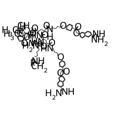 C=PNCCCC[C@H](N)C(=O)NC(CCC(=O)NCCCCOc1ccc(C(=O)Oc2ccc3cc(C(=N)N)ccc3c2)cc1)C(=O)NC(CCC(=O)NCCCCOc1ccc(C(=O)Oc2ccc3cc(C(=N)N)ccc3c2)cc1)C(=O)OC1=CC[C@H]2[C@@H](C)N(C)CC[C@@]23c2c(C)ccc(OC)c2O[C@@H]13